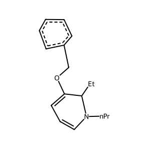 CCCN1C=CC=C(OCc2ccccc2)C1CC